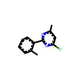 Cc1cc(Cl)nc(-c2ccccc2C)n1